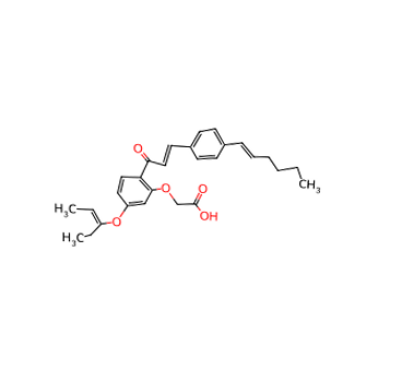 CC=C(CC)Oc1ccc(C(=O)C=Cc2ccc(C=CCCCC)cc2)c(OCC(=O)O)c1